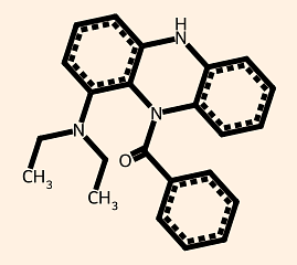 CCN(CC)c1cccc2c1N(C(=O)c1ccccc1)c1ccccc1N2